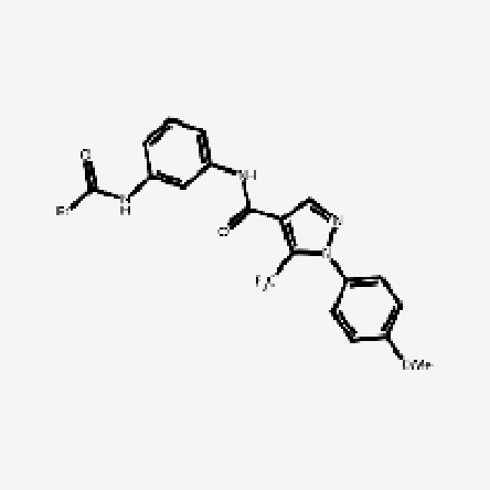 CCC(=O)Nc1cccc(NC(=O)c2cnn(-c3ccc(OC)cc3)c2C(F)(F)F)c1